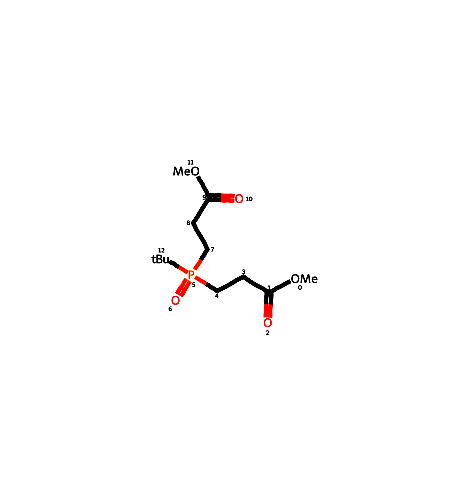 COC(=O)CCP(=O)(CCC(=O)OC)C(C)(C)C